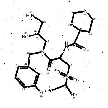 CCCC(CCC)S(=O)(=O)CC(NC(=O)C1CCNCC1)C(=O)N(Cc1cccc(CC)c1)C[C@@H](O)CN